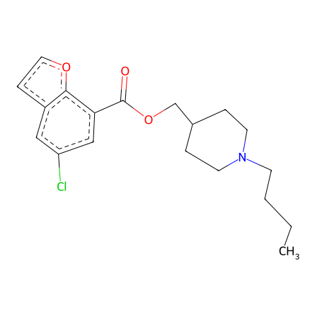 CCCCN1CCC(COC(=O)c2cc(Cl)cc3ccoc23)CC1